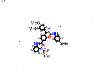 COc1ccc(C(NC(=O)Nc2ccc(SC)cc2)c2ccc(C(=O)Nc3ccccc3NC(=O)OC(C)(C)C)cc2)cc1OC